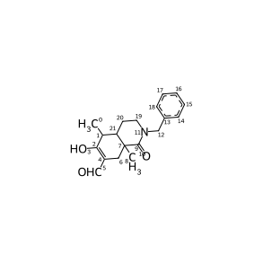 CC1C(O)=C(C=O)CC2(C)C(=O)N(Cc3ccccc3)CCC12